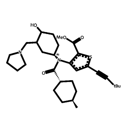 COC(=O)c1sc(C#CC(C)(C)C)cc1N(C(=O)[C@H]1CC[C@H](C)CC1)[C@@H]1CCC(O)C(CN2CCCC2)C1